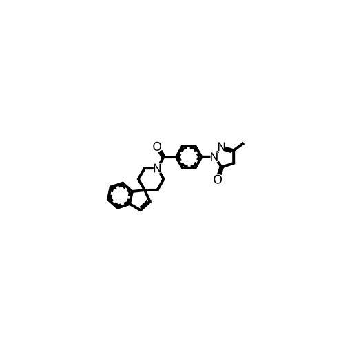 CC1=NN(c2ccc(C(=O)N3CCC4(C=Cc5ccccc54)CC3)cc2)C(=O)C1